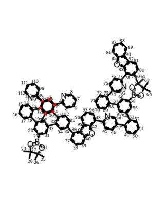 Cc1cc(-c2ccccn2)ccc1-c1ccccc1-c1cc(B2OC(C)(C)C(C)(C)O2)cc(-c2cc(-c3cccc4oc5c(-c6ccc(-c7ccccc7-c7cc(B8OC(C)(C)C(C)(C)O8)cc(-c8ccccc8-c8ccc(-c9cccc%10c9oc9ccccc9%10)nc8)c7)cn6)cccc5c34)ccc2-c2ccc(-c3ccccn3)cc2C)c1